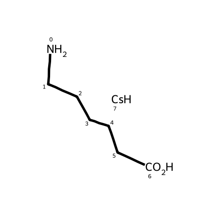 NCCCCCC(=O)O.[CsH]